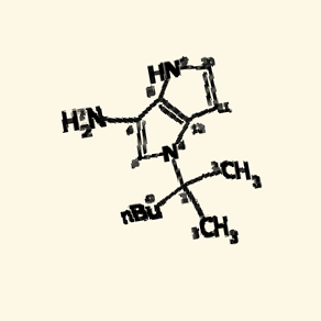 CCCCC(C)(C)n1cc(N)c2[nH]ccc21